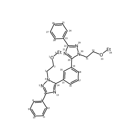 CCOCCn1nc(-c2ccccc2)nc1-c1cccc(-c2nc(-c3ccccc3)nn2CCOCC)c1